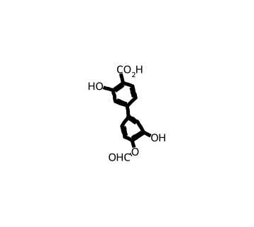 O=COc1ccc(-c2ccc(C(=O)O)c(O)c2)cc1O